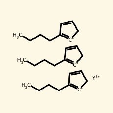 CCCCC1=[C-]CC=C1.CCCCC1=[C-]CC=C1.CCCCC1=[C-]CC=C1.[Y+3]